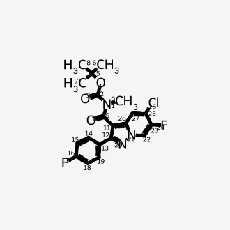 CN(C(=O)OC(C)(C)C)C(=O)c1c(-c2ccc(F)cc2)nn2cc(F)c(Cl)cc12